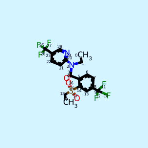 CCN(C(=O)c1ccc(C(F)(F)F)cc1S(=O)(=O)CC)c1ccc(C(F)(F)F)cn1